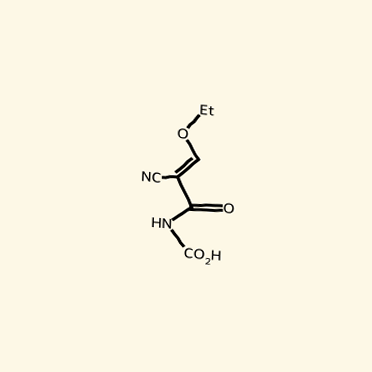 CCO/C=C(\C#N)C(=O)NC(=O)O